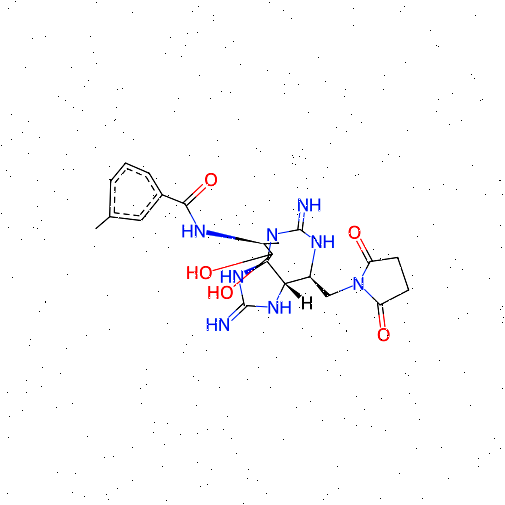 Cc1cccc(C(=O)N[C@H]2CN3C(=N)N[C@@H](CN4C(=O)CCC4=O)[C@@H]4NC(=N)N[C@@]43C2(O)O)c1